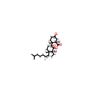 CC(C)CCC[C@@H](C)[C@H]1CC[C@@H]2C1(C)CC[C@@]13OC21OC(=O)[C@H]1CC(=O)CCC13C